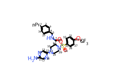 CCCc1ccc(CNC(=O)[C@H]2CN(c3cnc(N)cn3)CCN2S(=O)(=O)c2ccc(OC(F)(F)F)cc2)cc1